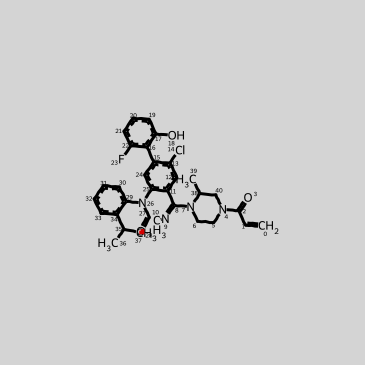 C=CC(=O)N1CCN(/C(=N/C)c2cc(Cl)c(-c3c(O)cccc3F)cc2N(C=O)c2ccccc2C(C)C)C(C)C1